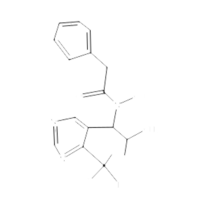 CC(C)C(c1cncnc1C(F)(F)F)N(C)C(=O)Cc1ccccc1